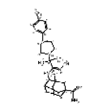 [2H]C12CC3CC(CC(C(N)=O)(C3)C1)C2NC(=NC#N)C(C)(C)N1CCN(c2ccc(C(F)(F)F)cn2)CC1